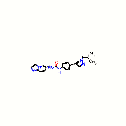 CC(C)Cn1cc(-c2ccc(NC(=O)NCc3ccc4nccn4c3)cc2)cn1